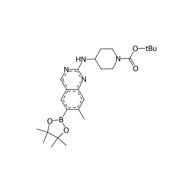 Cc1cc2nc(NC3CCN(C(=O)OC(C)(C)C)CC3)ncc2cc1B1OC(C)(C)C(C)(C)O1